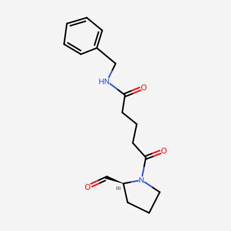 O=C[C@@H]1CCCN1C(=O)CCCC(=O)NCc1ccccc1